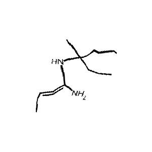 C/C=C(\N)NC(C)(CC)CC